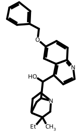 CCC1(C)CN2CCC1CC2C(O)c1ccnc2ccc(OCc3ccccc3)cc12